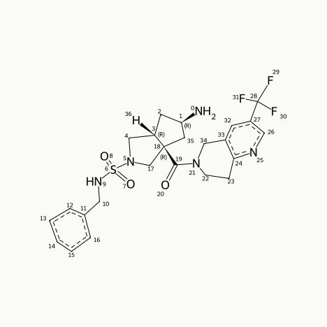 N[C@@H]1C[C@H]2CN(S(=O)(=O)NCc3ccccc3)C[C@@]2(C(=O)N2CCc3ncc(C(F)(F)F)cc3C2)C1